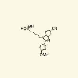 COc1ccc(-c2nc3cc(C#N)ccc3n2CCCCCB(O)O)cc1